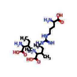 CCC(C)C(N)C(=O)O.CCC(C)C(N)C(=O)O.N=C(N)NCCCC(N)C(=O)O